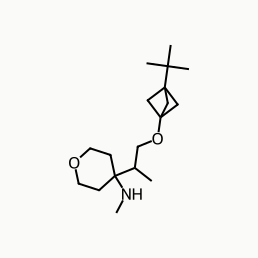 CNC1(C(C)COC23CC(C(C)(C)C)(C2)C3)CCOCC1